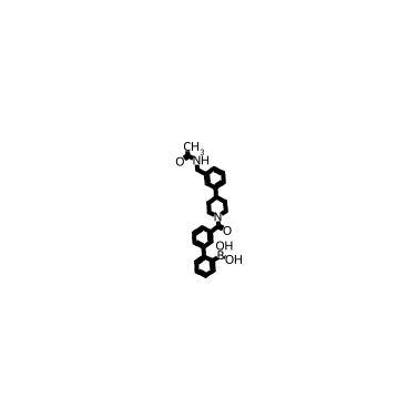 CC(=O)NCc1cccc(C2CCN(C(=O)c3cccc(-c4ccccc4B(O)O)c3)CC2)c1